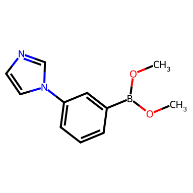 COB(OC)c1cccc(-n2ccnc2)c1